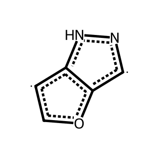 [c]1coc2[c]n[nH]c12